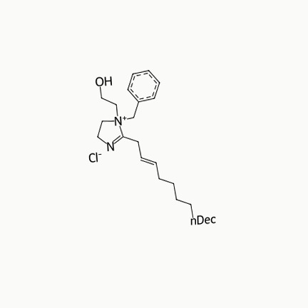 CCCCCCCCCCCCCC/C=C/CC1=NCC[N+]1(CCO)Cc1ccccc1.[Cl-]